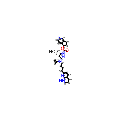 O=C(NC(CCN(CCCCc1ccc2c(n1)NCCC2)C1CC1)C(=O)O)OC1CCc2cnccc21